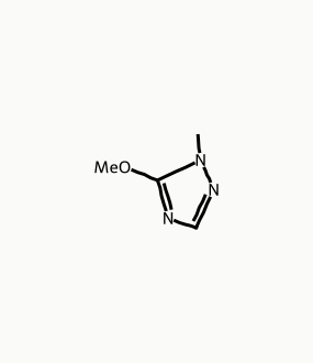 COc1ncnn1C